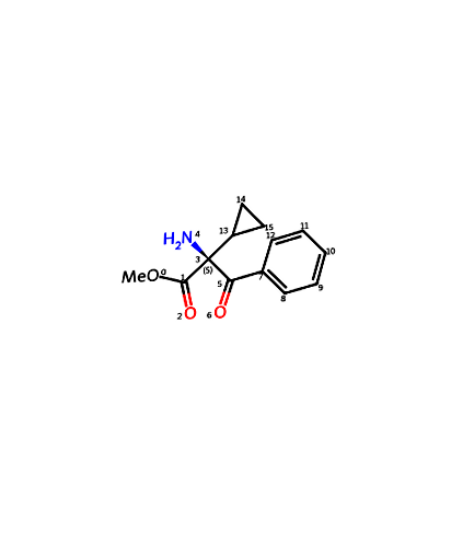 COC(=O)[C@@](N)(C(=O)c1ccccc1)C1CC1